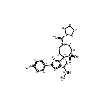 O=C(C[C@]1(c2ccc(-c3ccc(Cl)cc3)s2)CCN(C(=O)N2CCCC2)CCS1(=O)=O)NO